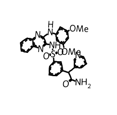 COc1cc(Nc2nc3ccccc3nc2NS(=O)(=O)c2cccc(C(C(N)=O)c3cccnc3)c2)cc(OC)c1